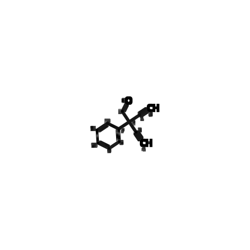 C#CC(C#C)(C=O)c1ccccc1